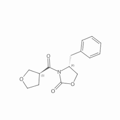 O=C1OC[C@@H](Cc2ccccc2)N1C(=O)[C@H]1CCOC1